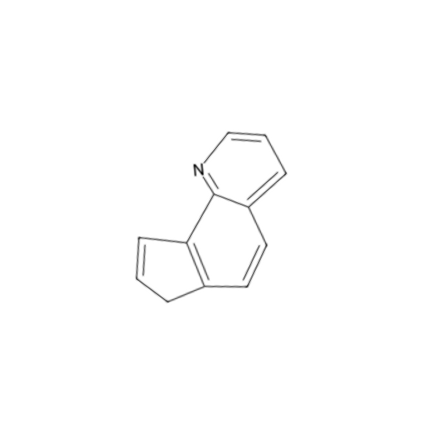 C1=Cc2c(ccc3cccnc23)C1